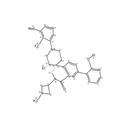 CCOc1ncccc1-c1ccc2c(n1)C(=O)N(C1CN(C)C1)C[C@]21CCN(c2cncc(OC)c2C(F)(F)F)C[C@H]1CC